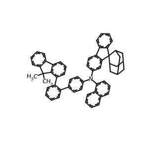 CC1(C)c2ccccc2-c2cccc(-c3ccccc3-c3ccc(N(c4ccc5c(c4)C4(c6ccccc6-5)C5CC6CC(C5)CC4C6)c4cccc5ccccc45)cc3)c21